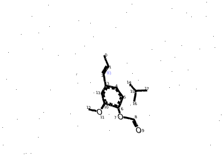 C/C=C/c1ccc(OC=O)c(OC)c1.[CH2]C(C)C